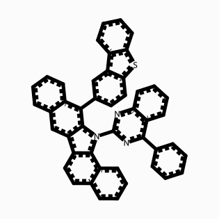 c1ccc(-c2nc(-n3c4c(-c5ccc6sc7ccccc7c6c5)c5ccccc5cc4c4ccc5ccccc5c43)nc3ccccc23)cc1